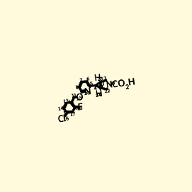 O=C(O)N1C[C@@H]2C(c3cccc(OCc4ccc(Cl)cc4F)n3)[C@@H]2C1